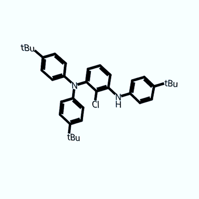 CC(C)(C)c1ccc(Nc2cccc(N(c3ccc(C(C)(C)C)cc3)c3ccc(C(C)(C)C)cc3)c2Cl)cc1